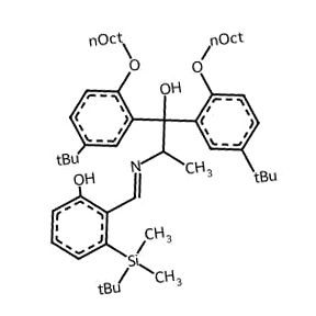 CCCCCCCCOc1ccc(C(C)(C)C)cc1C(O)(c1cc(C(C)(C)C)ccc1OCCCCCCCC)C(C)N=Cc1c(O)cccc1[Si](C)(C)C(C)(C)C